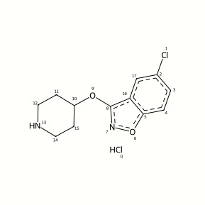 Cl.Clc1ccc2onc(OC3CCNCC3)c2c1